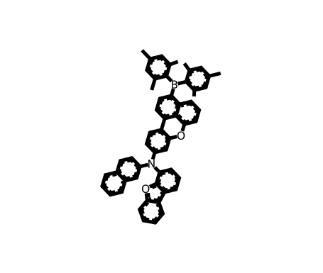 Cc1cc(C)c(B(c2c(C)cc(C)cc2C)c2ccc3c4c(cccc24)Oc2cc(N(c4ccc5ccccc5c4)c4cccc5c4oc4ccccc45)ccc2-3)c(C)c1